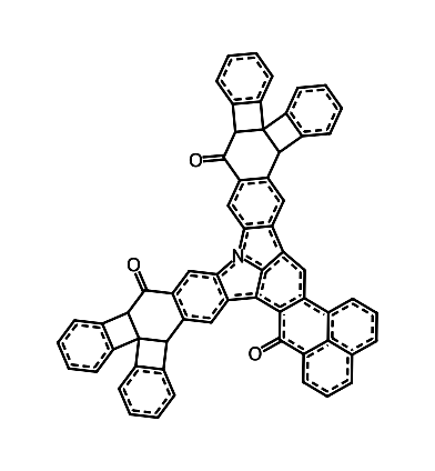 O=C1c2cc3c(cc2C2c4ccccc4C24c2ccccc2C14)c1cc2c4cccc5cccc(c(=O)c2c2c6cc7c(cc6n3c12)C(=O)C1c2ccccc2C12c1ccccc1C72)c54